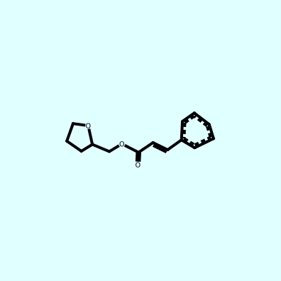 O=C(/C=C/c1ccccc1)OCC1CCCO1